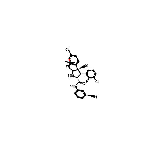 CC(C)(C)C[C@@H]1N[C@@H](C(=O)Nc2cccc(C#N)c2)[C@H](c2cccc(Cl)c2F)[C@@]1(C#N)c1ccc(Cl)cc1F